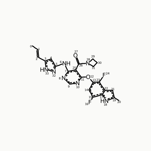 C/C=C/c1cc(Nc2ncnc(Oc3cc(F)c4[nH]c(C)cc4c3F)c2C(=O)N2CCC2)n[nH]1